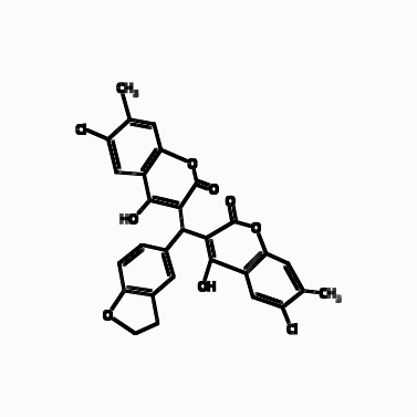 Cc1cc2oc(=O)c(C(c3ccc4c(c3)CCO4)c3c(O)c4cc(Cl)c(C)cc4oc3=O)c(O)c2cc1Cl